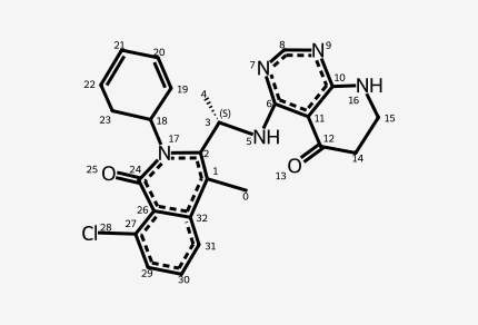 Cc1c([C@H](C)Nc2ncnc3c2C(=O)CCN3)n(C2C=CC=CC2)c(=O)c2c(Cl)cccc12